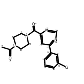 CC(=O)N1CCN(C(=O)c2cc(-c3cccc(Cl)c3)ncn2)CC1